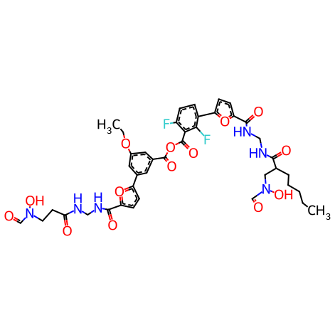 CCCCCC(CN(O)C=O)C(=O)NCNC(=O)c1ccc(-c2ccc(F)c(C(=O)OC(=O)c3cc(OCC)cc(-c4ccc(C(=O)NCNC(=O)CCN(O)C=O)o4)c3)c2F)o1